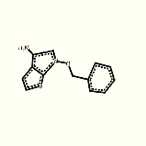 Nc1cn(OCc2ccccc2)c2sccc12